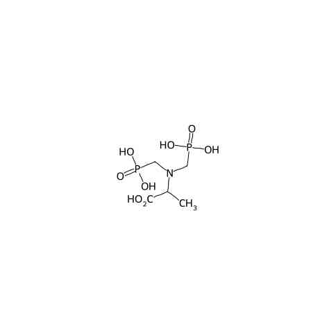 CC(C(=O)O)N(CP(=O)(O)O)CP(=O)(O)O